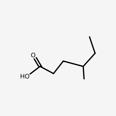 CCC(C)CCC(=O)O